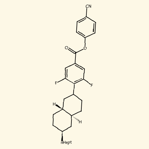 CCCCCCC[C@H]1CC[C@@H]2CC(c3c(F)cc(C(=O)Oc4ccc(C#N)cc4)cc3F)CC[C@H]2C1